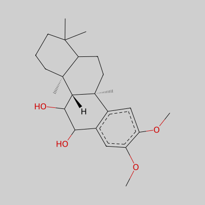 COc1cc2c(cc1OC)[C@]1(C)CCC3C(C)(C)CCC[C@]3(C)[C@H]1C(O)C2O